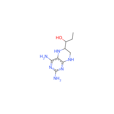 CCC(O)C1CNc2nc(N)nc(N)c2N1